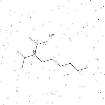 CCCCCC[SiH](C(C)C)C(C)C.F